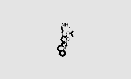 CC(C)OC(=O)[C@@H](CCCN)Cc1ncn2c1CCc1ccccc1-2